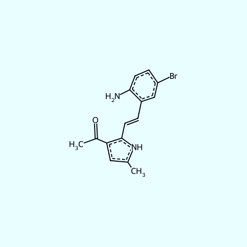 CC(=O)c1cc(C)[nH]c1/C=C/c1cc(Br)ccc1N